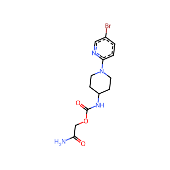 NC(=O)COC(=O)NC1CCN(c2ccc(Br)cn2)CC1